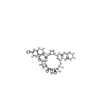 CC1C/C=C/C(CN2CCN3CCCCC3C2)C2CCC2CN2C[C@@]3(CCCc4cc(Cl)ccc43)COc3ccc(cc32)C(=O)N[S+]([O-])C1C